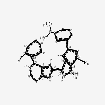 CN(C)c1cncc(-c2cc(F)c3[nH]nc(-c4nc5c(-c6ccccc6F)nccc5[nH]4)c3c2)c1